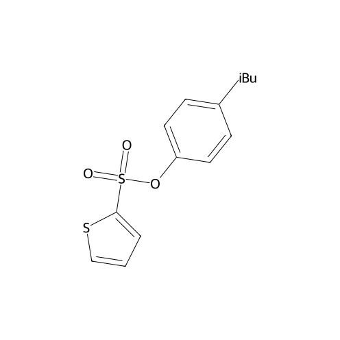 CCC(C)c1ccc(OS(=O)(=O)c2cccs2)cc1